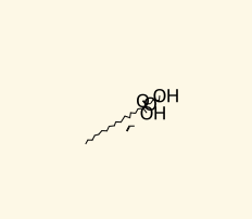 C=CC.CCCCCCCCCCCCCCCCC(O)C(=O)OCCO